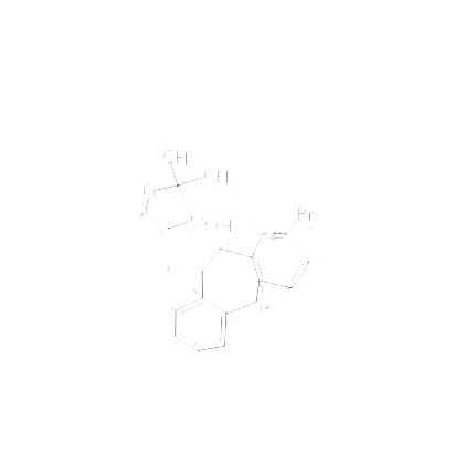 CC1(C)OC[C@@H](C[C@H]2c3ccccc3Cc3ccc(Br)cc3[C@H]2O)O1